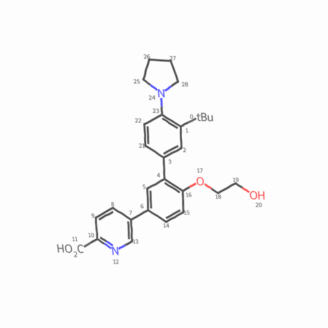 CC(C)(C)c1cc(-c2cc(-c3ccc(C(=O)O)nc3)ccc2OCCO)ccc1N1CCCC1